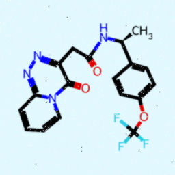 C[C@H](NC(=O)Cc1nnc2ccccn2c1=O)c1ccc(OC(F)(F)F)cc1